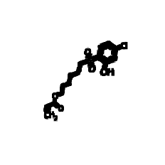 C=CC(=O)OCCCCCCS(=O)(=O)c1ccc(Cl)cc1O